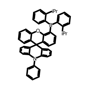 CC(C)c1ccccc1B(c1ccccc1C(C)C)c1cccc2c1Oc1ccccc1C21c2ccccc2N(c2ccccc2)c2ccccc21